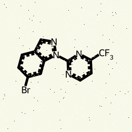 FC(F)(F)c1ccnc(-n2ncc3ccc(Br)cc32)n1